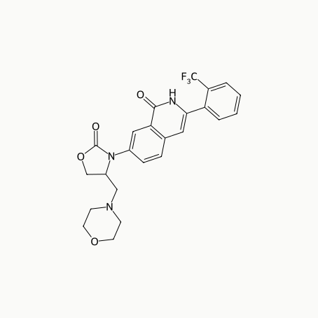 O=C1OCC(CN2CCOCC2)N1c1ccc2cc(-c3ccccc3C(F)(F)F)[nH]c(=O)c2c1